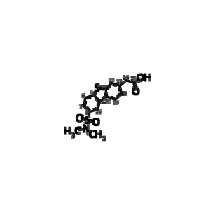 CN(C)S(=O)(=O)c1ccc2sc3cc(CC(=O)O)ccc3c2c1